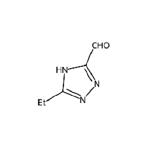 CCc1nnc(C=O)[nH]1